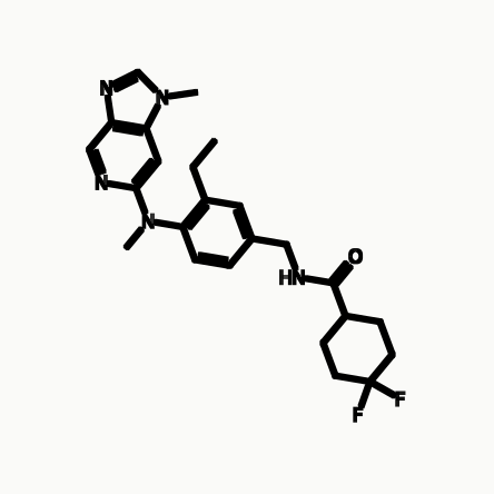 CCc1cc(CNC(=O)C2CCC(F)(F)CC2)ccc1N(C)c1cc2c(cn1)ncn2C